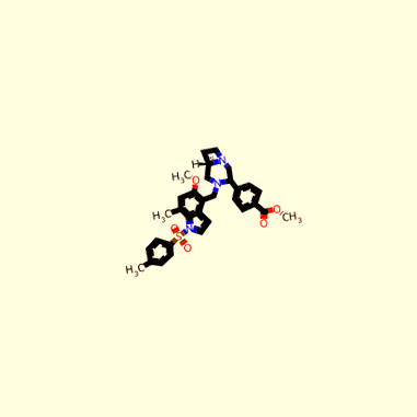 COC(=O)c1ccc(C2CN3CC[C@H]3CN2Cc2c(OC)cc(C)c3c2ccn3S(=O)(=O)c2ccc(C)cc2)cc1